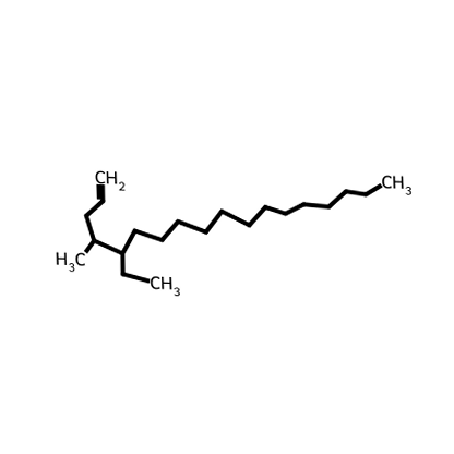 C=CCC(C)C(CC)CCCCCCCCCCCCC